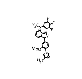 COc1cc(-c2nnc3n(C(C)c4cc(F)c(F)c(F)c4)cccc2-3)ccc1-n1cnc(C)c1